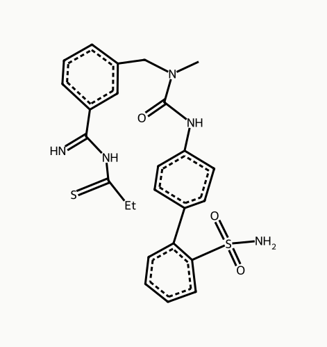 CCC(=S)NC(=N)c1cccc(CN(C)C(=O)Nc2ccc(-c3ccccc3S(N)(=O)=O)cc2)c1